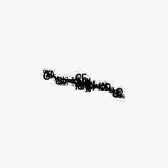 C=CC(=O)OCCCCOc1ccc(C#Cc2ccc(NC(=O)C(=O)Nc3c(C)cc(C#Cc4ccc(OCCCCOC(=O)C=C)cc4)nc3C)c(C(F)(F)F)c2)cc1